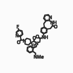 CCC1(C(=O)N(CC(=O)Nc2ccc3c(c2)CC(=O)Nc2ncccc2C3)Cc2ccccc2CNC)CCN(C(=O)c2ccc(F)cn2)CC1